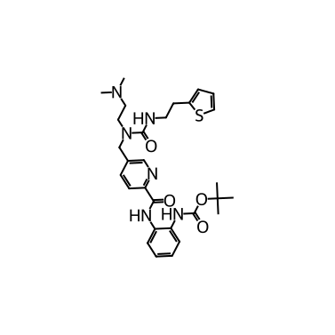 CN(C)CCN(Cc1ccc(C(=O)Nc2ccccc2NC(=O)OC(C)(C)C)nc1)C(=O)NCCc1cccs1